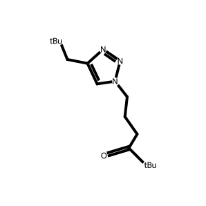 CC(C)(C)Cc1cn(CCCC(=O)C(C)(C)C)nn1